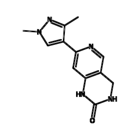 Cc1nn(C)cc1-c1cc2c(cn1)CNC(=O)N2